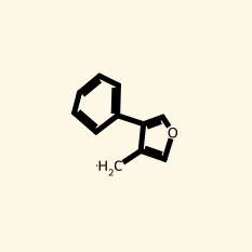 [CH2]c1cocc1-c1ccccc1